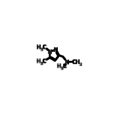 Cc1cc(CN(C)C)nn1C